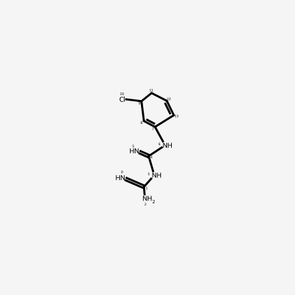 N=C(N)NC(=N)NC1=CC(Cl)CC=C1